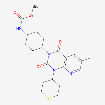 Cc1cnc2c(c1)c(=O)n(C1CCC(NC(=O)OC(C)(C)C)CC1)c(=O)n2C1CCSCC1